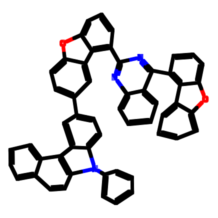 c1ccc(-n2c3ccc(-c4ccc5oc6cccc(-c7nc(-c8cccc9oc%10ccccc%10c89)c8ccccc8n7)c6c5c4)cc3c3c4ccccc4ccc32)cc1